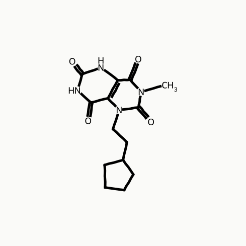 Cn1c(=O)c2[nH]c(=O)[nH]c(=O)c2n(CCC2CCCC2)c1=O